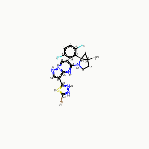 Fc1ccc(F)c([C@@]23C[C@@H]2CCN3c2ccn3ncc(-c4nnc(Br)s4)c3n2)c1